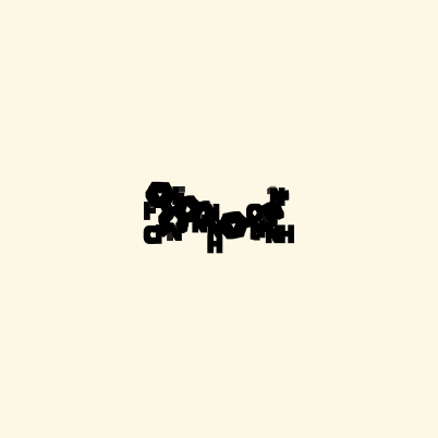 CN(C(=N)N1CC(N(C)C)C1)C(=O)c1ccc(Nc2ncc3c(n2)C2=CN=C(Cl)C=C(c4c(F)cccc4F)C2=CC3)cc1